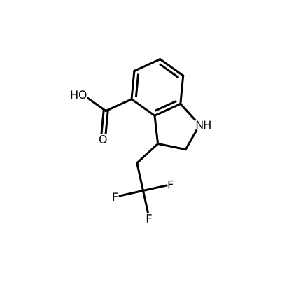 O=C(O)c1cccc2c1C(CC(F)(F)F)CN2